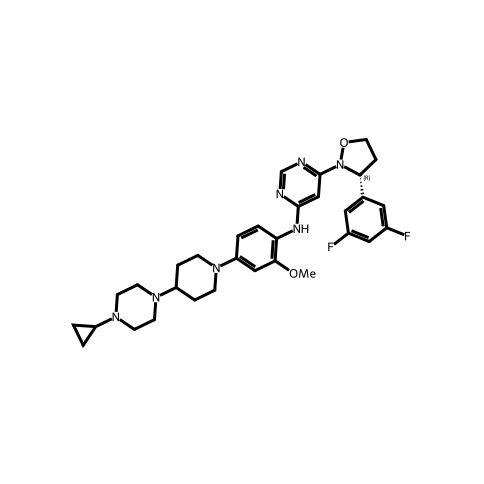 COc1cc(N2CCC(N3CCN(C4CC4)CC3)CC2)ccc1Nc1cc(N2OCC[C@@H]2c2cc(F)cc(F)c2)ncn1